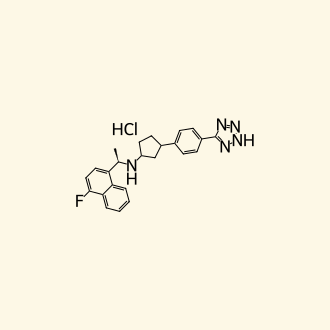 C[C@@H](NC1CCC(c2ccc(-c3nn[nH]n3)cc2)C1)c1ccc(F)c2ccccc12.Cl